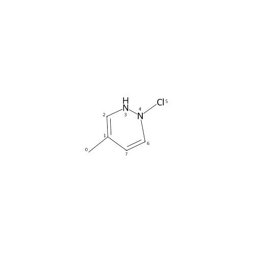 CC1=CNN(Cl)C=C1